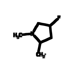 [CH2]C1CC(F)CN1C